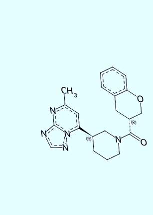 Cc1cc([C@@H]2CCCN(C(=O)[C@H]3COc4ccccc4C3)C2)n2ncnc2n1